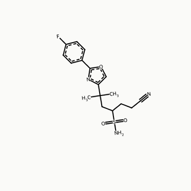 CC(C)(CC(CCC#N)S(N)(=O)=O)c1coc(-c2ccc(F)cc2)n1